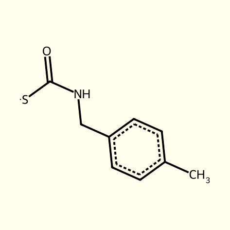 Cc1ccc(CNC(=O)[S])cc1